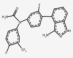 NC(=O)N(c1ccc(-c2cccc3[nH]nc(N)c23)c(F)c1)c1ccc(F)c(C(F)(F)F)c1